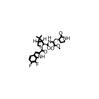 COC(=O)[C@H](C[C@@H]1CCNC1=O)NC(=O)[C@@H]1[C@@H]2[C@H](CN1C(=O)c1cc3ccc(F)c(F)c3[nH]1)C2(C)C